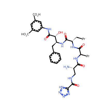 CC(C)C[C@H](NC(=O)C(NC(=O)[C@@H](N)CNC(=O)c1nnn[nH]1)C(C)C)C(=O)N[C@@H](Cc1ccccc1)[C@@H](O)C(=O)Nc1cc(C(=O)O)cc(C(=O)O)c1